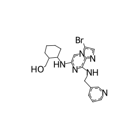 OCC1CCCCC1Nc1cn2c(Br)cnc2c(NCc2cccnc2)n1